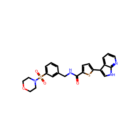 O=C(NCc1cccc(S(=O)(=O)N2CCOCC2)c1)c1ccc(-c2c[nH]c3ncccc23)s1